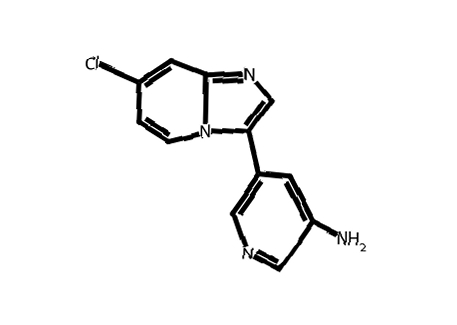 Nc1cncc(-c2cnc3cc(Cl)ccn23)c1